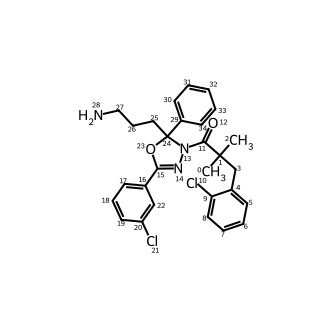 CC(C)(Cc1ccccc1Cl)C(=O)N1N=C(c2cccc(Cl)c2)OC1(CCCN)c1ccccc1